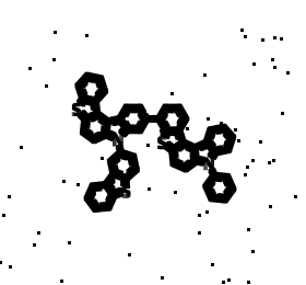 c1ccc(-n2c3ccccc3c3c4c(ccc32)sc2c(-c3ccc5c6c7c(ccc6n(-c6ccc8sc9ccccc9c8c6)c5c3)sc3ccccc37)cccc24)cc1